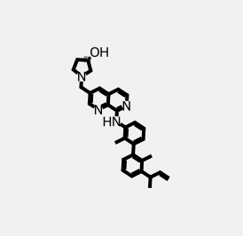 C=CC(C)c1cccc(-c2cccc(Nc3nccc4cc(CN5CC[C@@H](O)C5)cnc34)c2C)c1C